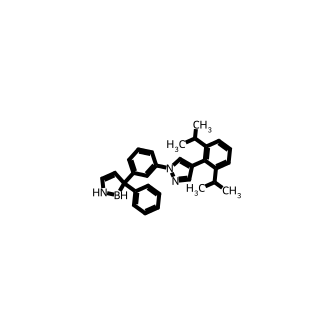 CC(C)c1cccc(C(C)C)c1-c1cnn(-c2cccc(C3(c4ccccc4)BNC=C3)c2)c1